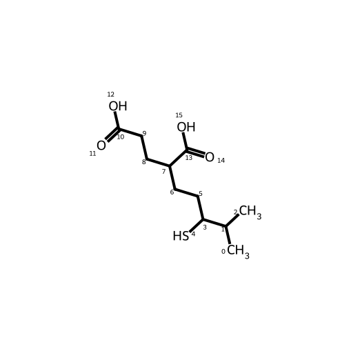 CC(C)C(S)CCC(CCC(=O)O)C(=O)O